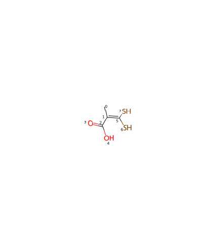 CC(C(=O)O)=C(S)S